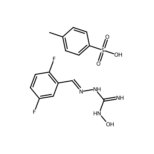 Cc1ccc(S(=O)(=O)O)cc1.N=C(NO)NN=Cc1cc(F)ccc1F